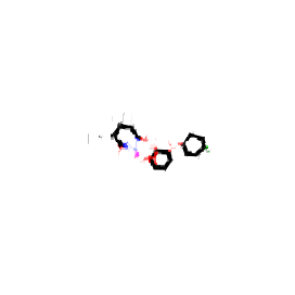 Cc1cc(Oc2ccccc2Oc2ccc(Cl)cc2)n(O)c(=O)c1C